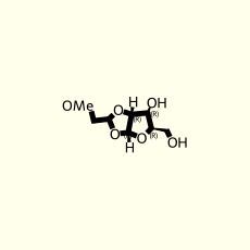 COCC1O[C@H]2O[C@H](CO)[C@@H](O)[C@H]2O1